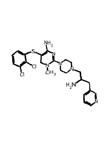 CN1CC(Sc2cccc(Cl)c2Cl)=C(N)N=C1N1CCN(CC(N)Cc2cccnc2)CC1